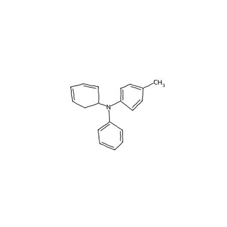 Cc1ccc(N(c2ccccc2)C2C=CC=CC2)cc1